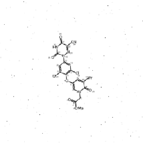 COC(=O)Cn1cc(Oc2c(Cl)cc(-n3nc(C#N)c(=O)[nH]c3=O)cc2Cl)cc(C(C)C)c1=O